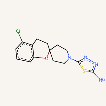 Nc1nnc(N2CCC3(CCc4c(Cl)cccc4O3)CC2)s1